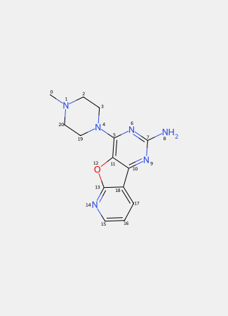 CN1CCN(c2nc(N)nc3c2oc2ncccc23)CC1